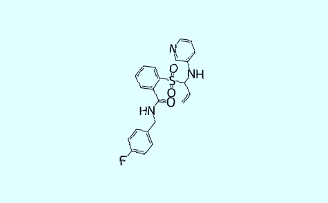 C=CC(Nc1cccnc1)S(=O)(=O)c1ccccc1C(=O)NCc1ccc(F)cc1